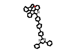 c1ccc(-c2cc(-c3ccccc3)nc(-c3ccc(-c4ccc(-c5ccc(-c6nc7ccccc7c7c6-c6ccccc6C76c7ccccc7-c7ccccc76)cc5)cc4)cc3)n2)cc1